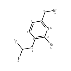 FC(F)Oc1ccc(CBr)nc1Br